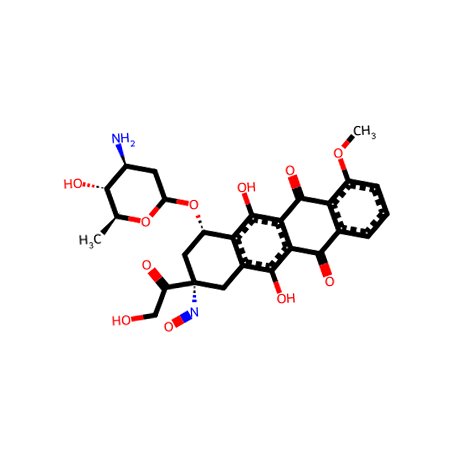 COc1cccc2c1C(=O)c1c(O)c3c(c(O)c1C2=O)C[C@@](N=O)(C(=O)CO)C[C@@H]3OC1C[C@H](N)[C@@H](O)[C@H](C)O1